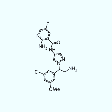 COc1cc(Cl)cc(C(CN)n2cc(NC(=O)c3cc(F)cnc3N)cn2)c1